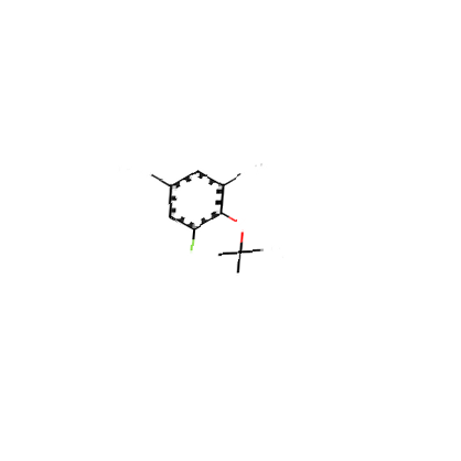 CCOC(=O)C(C)(C)Oc1c(F)cc(C=O)cc1OC